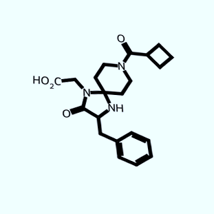 O=C(O)CN1C(=O)C(Cc2ccccc2)NC12CCN(C(=O)C1CCC1)CC2